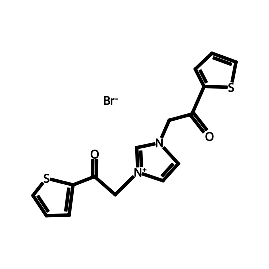 O=C(Cn1cc[n+](CC(=O)c2cccs2)c1)c1cccs1.[Br-]